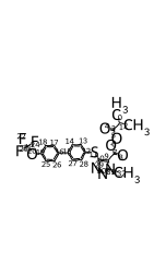 CC(C)C(=O)OOC(=O)c1c(Sc2ccc(-c3ccc(OC(F)(F)F)cc3)cc2)nnn1C